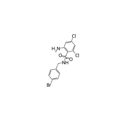 Nc1cc(Cl)cc(Cl)c1S(=O)(=O)NCc1ccc(Br)cc1